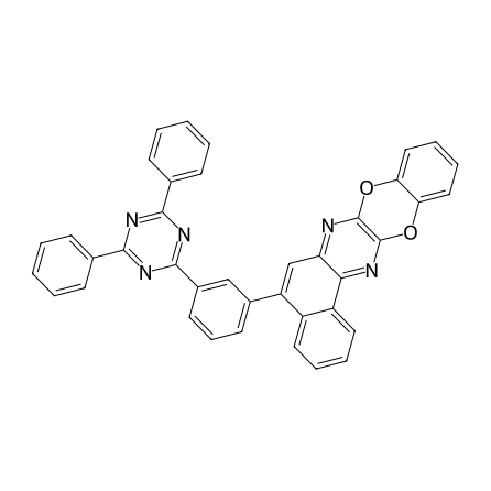 c1ccc(-c2nc(-c3ccccc3)nc(-c3cccc(-c4cc5nc6c(nc5c5ccccc45)Oc4ccccc4O6)c3)n2)cc1